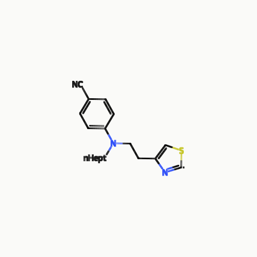 CCCCCCCN(CCc1cs[c]n1)c1ccc(C#N)cc1